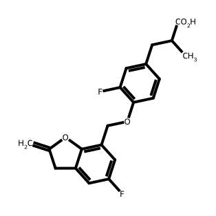 C=C1Cc2cc(F)cc(COc3ccc(CC(C)C(=O)O)cc3F)c2O1